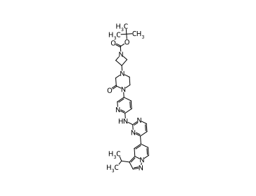 CC(C)c1cnn2ccc(-c3ccnc(Nc4ccc(N5CCN(C6CN(C(=O)OC(C)(C)C)C6)CC5=O)cn4)n3)cc12